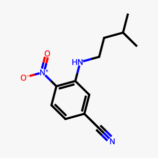 CC(C)CCNc1cc(C#N)ccc1[N+](=O)[O-]